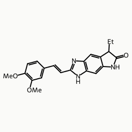 CCC1C(=O)Nc2cc3[nH]c(C=Cc4ccc(OC)c(OC)c4)nc3cc21